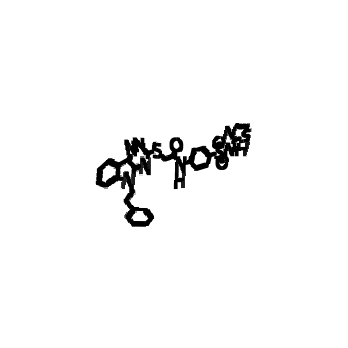 O=C(CSc1nnc2c3ccccc3n(CCc3ccccc3)c2n1)Nc1ccc(S(=O)(=O)Nc2nccs2)cc1